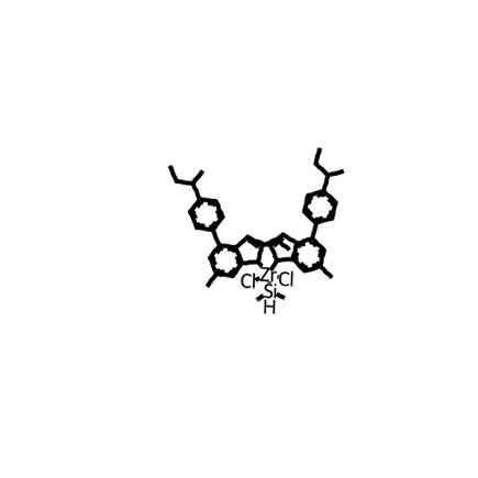 CCC1=Cc2c(-c3ccc(C(C)CC)cc3)cc(C)cc2[CH]1[Zr]([Cl])([Cl])([CH]1C(C)=Cc2c(-c3ccc(C(C)CC)cc3)cc(C)cc21)[SiH](C)C